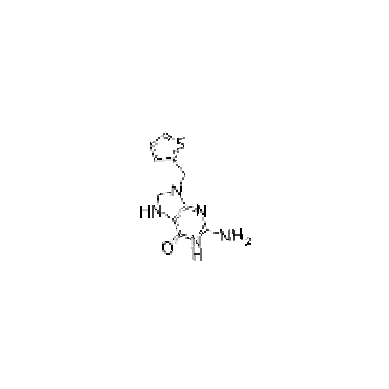 Nc1nc2c(c(=O)[nH]1)NCN2Cc1cccs1